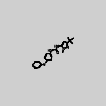 Cn1nc(C(C)(C)C)cc1NC(=O)Nc1ccc(Sc2ccncc2)cc1